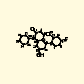 O=c1ccc2c(-c3ccc(F)cc3Cl)cc(O)cc2n1-c1ccccc1